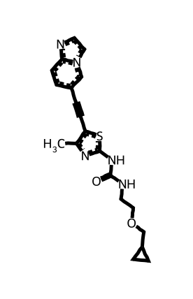 Cc1nc(NC(=O)NCCOCC2CC2)sc1C#Cc1ccc2nccn2c1